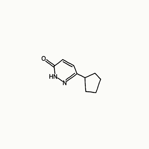 O=c1ccc(C2CCCC2)n[nH]1